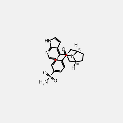 NS(=O)(=O)c1ccc(C(=O)N2[C@@H]3CC[C@@H]2CN(c2ncnc4[nH]ccc24)C3)cc1